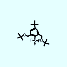 CC(C)(C)OCc1cc(C(C)(C)C)cc(COC(C)(C)C)c1S(F)(F)F